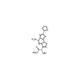 CCCCC(C(=O)OC)n1ncc2c1nc(N)n1nc(-c3ccco3)nc21